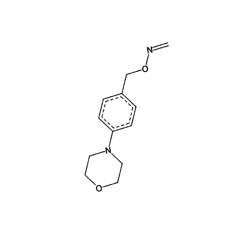 C=NOCc1ccc(N2CCOCC2)cc1